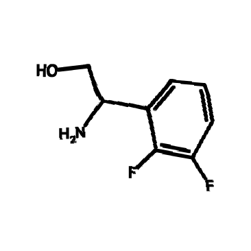 NC(CO)c1cccc(F)c1F